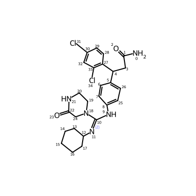 NC(=O)CC(c1ccc(N/C(=N/C2CCCCC2)N2CCNC(=O)C2)cc1)c1ccc(Cl)cc1Cl